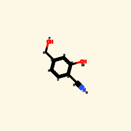 N#Cc1ccc(CO)cc1O